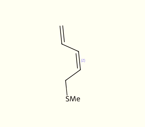 C=C/C=C\CSC